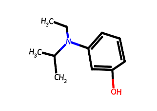 CCN(c1cccc(O)c1)C(C)C